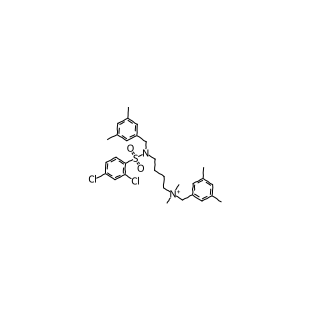 Cc1cc(C)cc(CN(CCCC[N+](C)(C)Cc2cc(C)cc(C)c2)S(=O)(=O)c2ccc(Cl)cc2Cl)c1